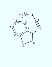 C#CCN.c1ccc2c(c1)CCC2